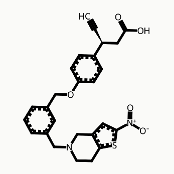 C#C[C@@H](CC(=O)O)c1ccc(OCc2cccc(CN3CCc4sc([N+](=O)[O-])cc4C3)c2)cc1